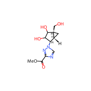 COC(=O)c1ncn([C@H]2C(O)C(O)[C@]3(CO)C[C@H]23)n1